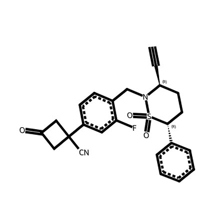 C#C[C@H]1CC[C@H](c2ccccc2)S(=O)(=O)N1Cc1ccc(C2(C#N)CC(=O)C2)cc1F